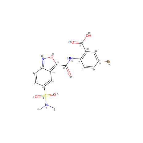 CN(C)S(=O)(=O)c1ccc2noc(C(=O)Nc3ccc(Br)cc3C(=O)O)c2c1